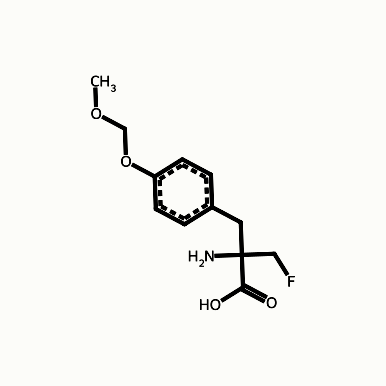 COCOc1ccc(CC(N)(CF)C(=O)O)cc1